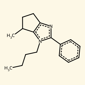 CCCCn1c(-c2ccccc2)nc2c1C(C)CC2